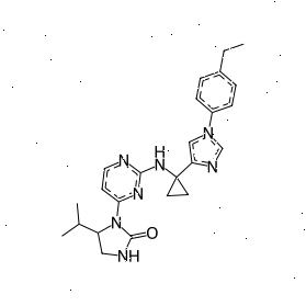 CCc1ccc(-n2cnc(C3(Nc4nccc(N5C(=O)NCC5C(C)C)n4)CC3)c2)cc1